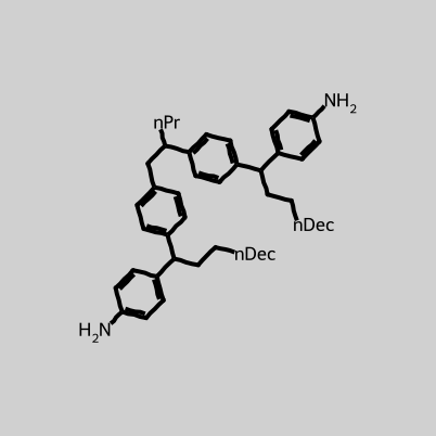 CCCCCCCCCCCCC(c1ccc(N)cc1)c1ccc(CC(CCC)c2ccc(C(CCCCCCCCCCCC)c3ccc(N)cc3)cc2)cc1